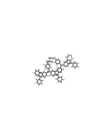 COc1ccc(N(c2ccc3c(c2)c2c(n3-c3ccccc3)CCC=C2)c2ccc3c(c2)c2cc(N(c4ccc(OC)cc4)c4ccc5c(c4)c4ccccc4n5-c4ccccc4)ccc2n3-c2ccccc2)cc1